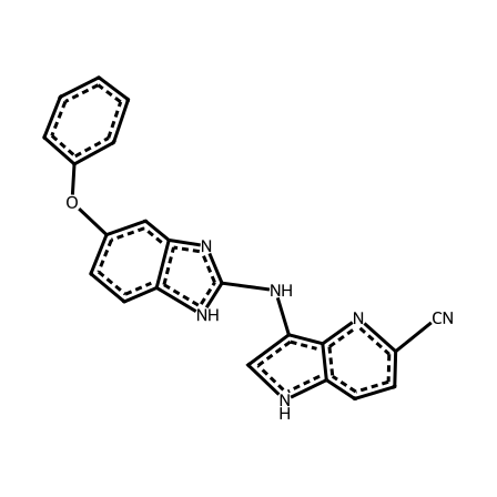 N#Cc1ccc2[nH]cc(Nc3nc4cc(Oc5ccccc5)ccc4[nH]3)c2n1